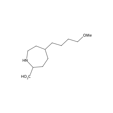 COCCCCC1CCNC(C(=O)O)CC1